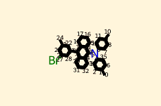 Cc1ccc(N(c2ccc(C)cc2)c2c3ccccc3c(-c3cc(C)cc(Br)c3)c3ccccc23)cc1